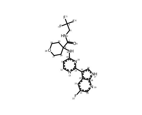 O=C(NCC(F)(F)F)C1(Nc2ccnc(-c3c[nH]c4ncc(F)cc34)n2)CCOCC1